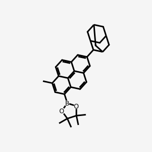 Cc1cc(B2OC(C)(C)C(C)(C)O2)c2ccc3cc(C4C5CC6CC(C5)CC4C6)cc4ccc1c2c43